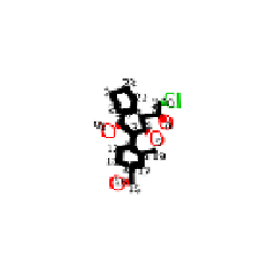 CO/C(=C(/C(=O)CC(=O)CCl)c1ccc(C=O)cc1C)c1ccccc1